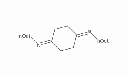 CCCCCCCCN=C1CCC(=NCCCCCCCC)CC1